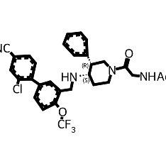 CC(=O)NCC(=O)N1CC[C@H](NCc2cc(-c3ccc(C#N)cc3Cl)ccc2OC(F)(F)F)[C@H](c2ccccc2)C1